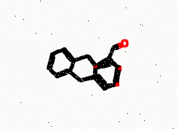 O=Cc1cccc2c1C1c3ccccc3C2c2ccccc21